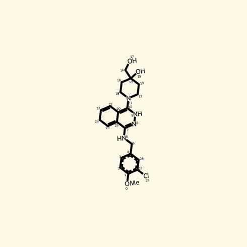 COc1ccc(CNC2=NNC(N3CCC(O)(CO)CC3)=C3C=CCC=C23)cc1Cl